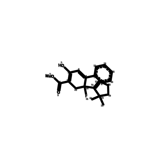 COC(=O)C1=C(O)C=C(c2ccccc2)C(F)(C2=CCCC2(C)C)C1